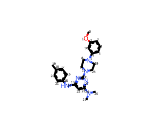 COc1cccc(N2CCN(c3nc(Nc4ccc(C)cc4)cc(N(C)C)n3)CC2)c1